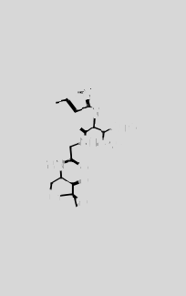 COC(C=O)C(Nc1cc(C)on1)C(=O)NCC(=O)NC(CC(C)C)C(=O)C1(C)CO1